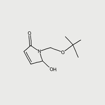 CC(C)(C)OCN1C(=O)C=CC1O